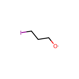 [O]CCCI